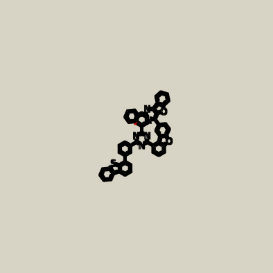 c1ccc(-c2nc(-c3cccc(-c4cccc5c4sc4ccccc45)c3)nc(-c3cccc4oc5ccc(-c6nc(-c7ccccc7)nc7c6oc6ccccc67)cc5c34)n2)cc1